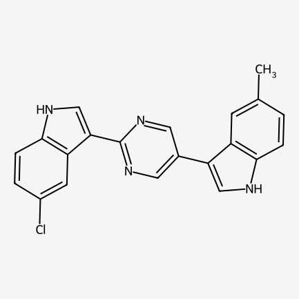 Cc1ccc2[nH]cc(-c3cnc(-c4c[nH]c5ccc(Cl)cc45)nc3)c2c1